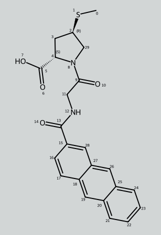 CS[C@@H]1C[C@@H](C(=O)O)N(C(=O)CNC(=O)c2ccc3cc4ccccc4cc3c2)C1